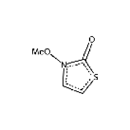 COn1ccsc1=O